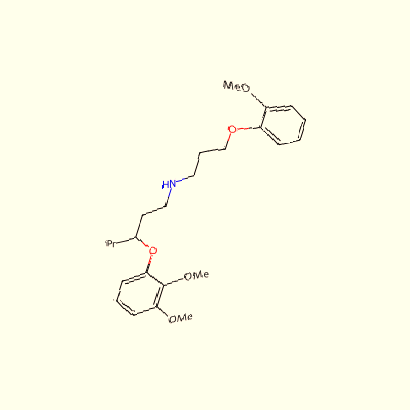 COc1ccccc1OCCCNCCC(Oc1c[c]cc(OC)c1OC)C(C)C